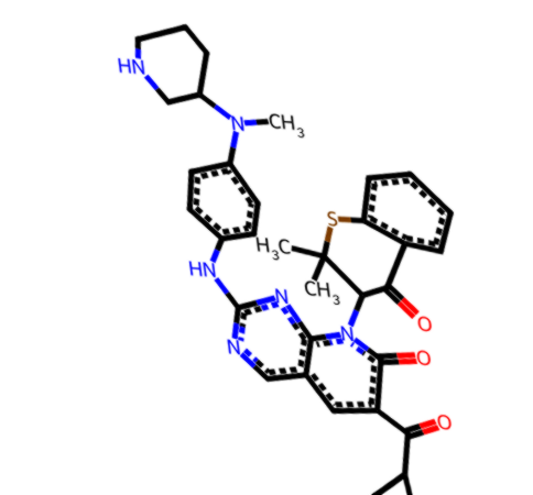 CN(c1ccc(Nc2ncc3cc(C(=O)C4CC4)c(=O)n(C4C(=O)c5ccccc5SC4(C)C)c3n2)cc1)C1CCCNC1